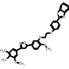 COc1ccc(C2CC(c3cc(C)c(C)c(OC)c3)=NO2)cc1OCCOc1ccc(-c2nc3ccccc3s2)cc1